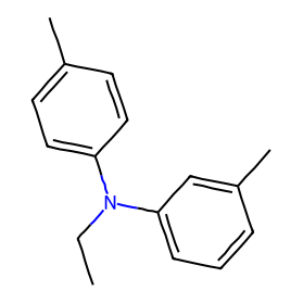 CCN(c1ccc(C)cc1)c1cccc(C)c1